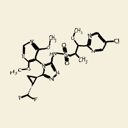 COc1ncnc(OC)c1-n1c(NS(=O)(=O)C(C)C(OC)c2ncc(Cl)cn2)nnc1[C@@H]1C[C@H]1C(F)F